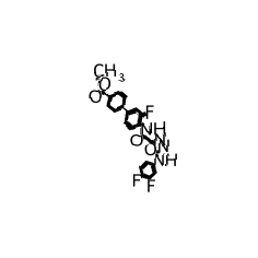 CCOC(=O)[C@H]1CC[C@@H](c2ccc(NC(=O)c3nnc(Nc4ccc(F)c(F)c4)o3)c(F)c2)CC1